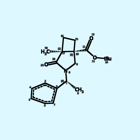 C[C@H](c1ccccc1)N1C[C@]2(C(=O)OC(C)(C)C)CC[C@]2(C)C1=O